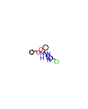 O=C(N[C@H](c1cn2ncc(CCl)cc2n1)C1CCCCCC1)OCc1ccccc1